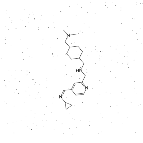 CN(C)CC1CCC(CNCc2cc(/C=N\C3CC3)ccn2)CC1